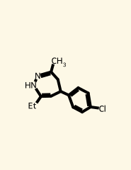 CCC1=CC(c2ccc(Cl)cc2)CC(C)=NN1